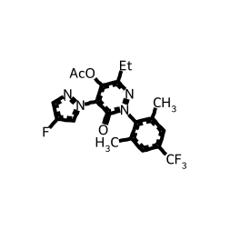 CCc1nn(-c2c(C)cc(C(F)(F)F)cc2C)c(=O)c(-n2cc(F)cn2)c1OC(C)=O